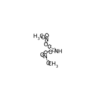 COCCCN1CCOc2ccc(COC3CNCCC3c3ccc(OC4CN(c5ccccc5OC)C4)cc3)cc21